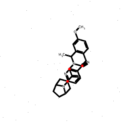 COc1ccc2c(c1)C(C)N(CC(=O)N1CC3CCC(C1)N3c1ccc(C#N)cn1)CC2